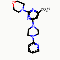 O=C(O)c1cc(N2CCN(c3ccccn3)CC2)nc(N2CCOCC2)n1